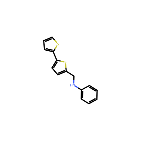 c1ccc(NCc2ccc(-c3cccs3)s2)cc1